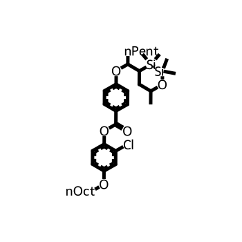 CCCCCCCCOc1ccc(OC(=O)c2ccc(OC(CCCCC)C3CC(C)O[Si](C)(C)[Si]3(C)C)cc2)c(Cl)c1